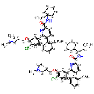 COc1cccc(OC)c1-c1ccc(C(=O)NC(CC(=O)O)C2CCCCC2)nc1-c1ccc(Cl)c(OCCCN(C)C)c1.COc1cccc(OC)c1-c1ccc(C(=O)NC2(C(=O)O)CCCCC2)nc1-c1ccc(Cl)c(OCCCN(C)C)c1